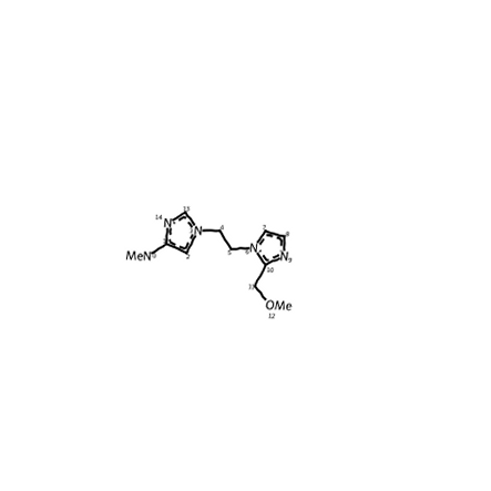 CNc1cn(CCn2ccnc2COC)cn1